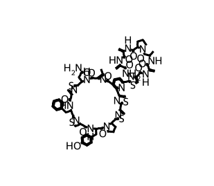 C=C(NC(=O)C(=C)NC(=O)C1CCCN1C(=O)C(C)NC(=O)C(=C)NC(=O)c1csc(-c2ccc3c(n2)-c2csc(n2)-c2csc(n2)C2CCCN2C(=O)C(Cc2ccc(O)cc2)NC(=O)C2CSC(=N2)C(Cc2ccccc2)NC(=O)c2csc(n2)C(CC(N)=O)NC(=O)c2nc-3oc2C)n1)C(N)=O